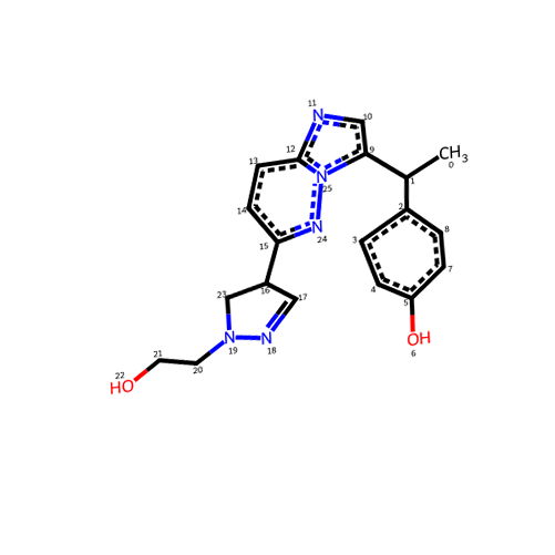 CC(c1ccc(O)cc1)c1cnc2ccc(C3C=NN(CCO)C3)nn12